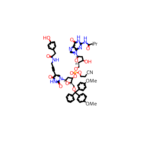 COc1ccc(C(OC[C@H]2O[C@@H](n3cc(C#CCNC(=O)Cc4ccc(O)cc4)c(=O)[nH]c3=O)CC2OP(=O)(OCCC#N)OC[C@H]2O[C@@H](n3cnc4c(=O)[nH]c(NC(=O)C(C)C)nc43)CC2O)(c2ccccc2)c2ccc(OC)cc2)cc1